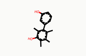 Cc1c(C)c(O)c(C)c(-c2cccc(O)c2)c1C